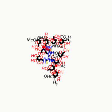 CO[C@@H]1OC(CO)[C@@H](O)[C@H](OC2OC(C(=O)NNC(=S)NCC3O[C@H](O[C@H]4OC(CNC(=S)NNC(=O)C5O[C@@H](O[C@@H]6C(NC(C)=O)[C@H](OC)OC(CO)[C@H]6O)C(O)[C@@H](O)[C@@H]5O[C@@H]5OC(CO)[C@@H](O)[C@H](O[C@@H]6OC(C(=O)O)[C@@H](C)[C@H](O)C6O)C5NC(C)=O)[C@@H](O)[C@H](O)C4O)C(O)[C@@H](O)[C@@H]3O)[C@@H](O[C@@H]3OC(CO)[C@@H](O)[C@H](O[C@@H]4OC(C=O)[C@@H](C)[C@H](O)C4O)C3NC(C)=O)[C@H](O)[C@@H]2O)C1NC(C)=O